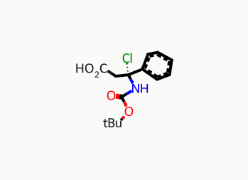 CC(C)(C)OC(=O)N[C@@](Cl)(CC(=O)O)c1ccccc1